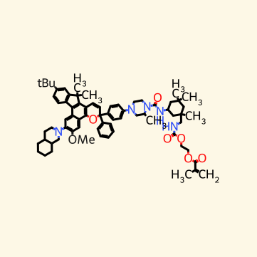 C=C(C)C(=O)OCCOC(=O)NCC1(C)CC(NC(=O)N2CCN(c3ccc(C4(c5ccccc5)C=Cc5c6c(c7cc(N8CCC9CCCCC9C8)c(OC)cc7c5O4)-c4ccc(C(C)(C)C)cc4C6(C)C)cc3)CC2C)CC(C)(C)C1